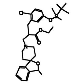 CCOC(=O)C(Cc1cc(O[Si](C)(C)C(C)(C)C)ccc1Cl)CN1CCC2(CC1)OC(C)c1ccccc12